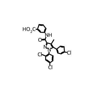 Cc1c(C(=O)Nc2cccc(C(=O)O)c2)nn(-c2ccc(Cl)cc2Cl)c1-c1ccc(Cl)cc1